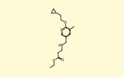 CCOC(=O)CCNCc1cnc(OCCC2CC2)c(C)c1